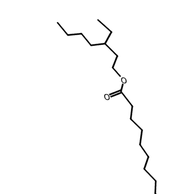 CCCCCCCCCC(=O)OCCC(CC)CCCC